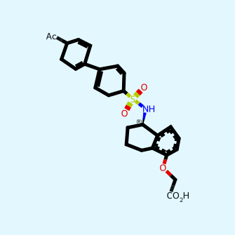 CC(=O)C1C=CC(C2=CCC(S(=O)(=O)N[C@@H]3CCCc4c(OCC(=O)O)cccc43)C=C2)=CC1